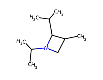 CC(C)C1C(C)CN1C(C)C